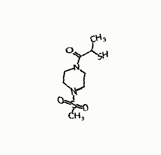 CC(S)C(=O)N1CCN(S(C)(=O)=O)CC1